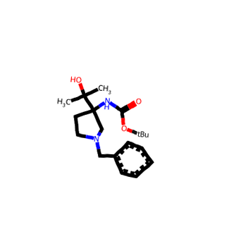 CC(C)(C)OC(=O)NC1(C(C)(C)O)CCN(Cc2ccccc2)C1